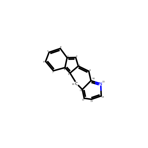 C1=C2C=c3ccccc3=C2Cc2cccnc21